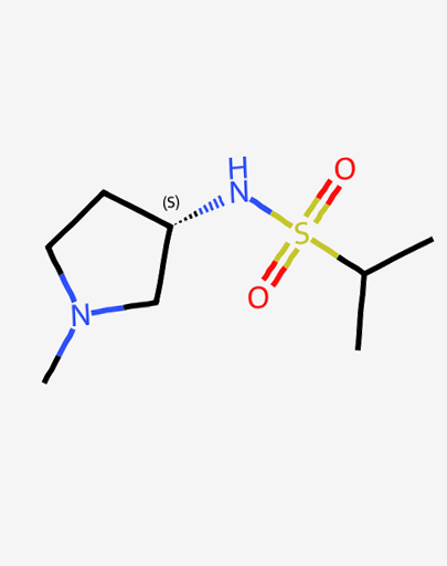 CC(C)S(=O)(=O)N[C@H]1CCN(C)C1